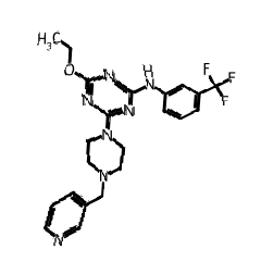 CCOc1nc(Nc2cccc(C(F)(F)F)c2)nc(N2CCN(Cc3cccnc3)CC2)n1